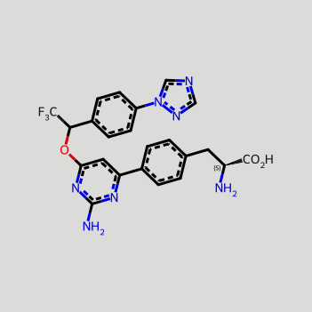 Nc1nc(OC(c2ccc(-n3cncn3)cc2)C(F)(F)F)cc(-c2ccc(C[C@H](N)C(=O)O)cc2)n1